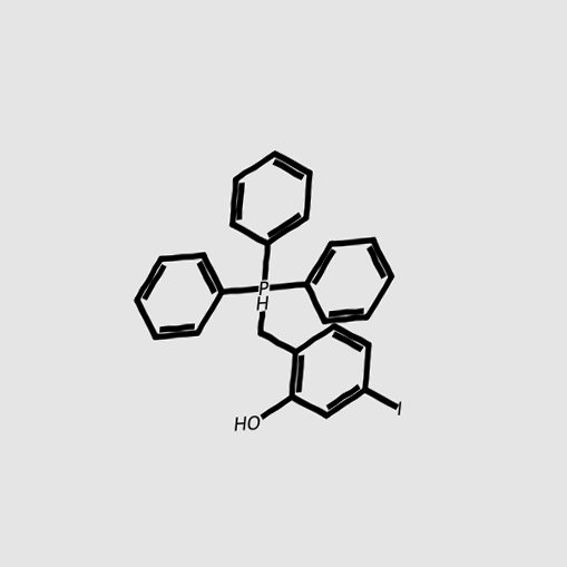 Oc1cc(I)ccc1C[PH](c1ccccc1)(c1ccccc1)c1ccccc1